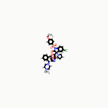 COc1ccc(S(=O)(=O)N2C(=O)C(C3=COC(c4ccccc4CN4CCN(C)CC4)O3)(N3CCC[C@H]3c3ncco3)c3cc(Cl)ccc32)cc1